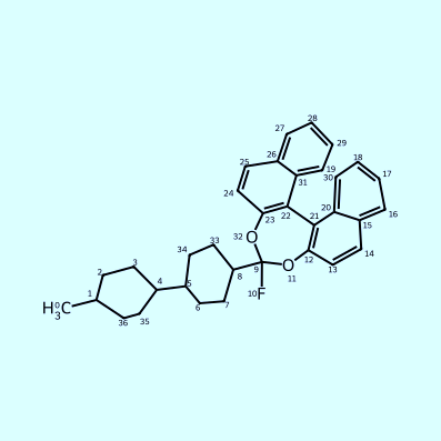 CC1CCC(C2CCC(C3(F)Oc4ccc5ccccc5c4-c4c(ccc5ccccc45)O3)CC2)CC1